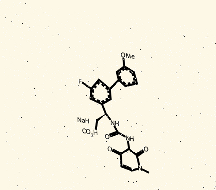 COc1cccc(-c2cc(F)cc([C@H](CC(=O)O)NC(=O)NC3C(=O)C=CN(C)C3=O)c2)c1.[NaH]